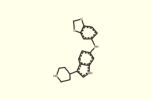 c1cc2c(cc1Nc1ccc3c(C4CCNCC4)c[nH]c3c1)OCO2